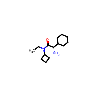 CCN(C(=O)[C@@H](N)C1CCCCC1)C1CCC1